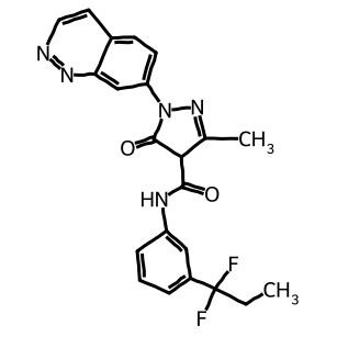 CCC(F)(F)c1cccc(NC(=O)C2C(=O)N(c3ccc4ccnnc4c3)N=C2C)c1